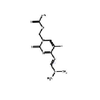 CCCC(=O)OCn1cc(F)c(/N=C/N(C)C)nc1=O